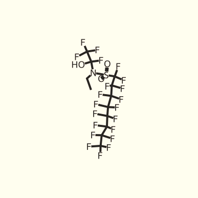 CCN(C(O)(F)C(F)(F)F)S(=O)(=O)C(F)(F)C(F)(F)C(F)(F)C(F)(F)C(F)(F)C(F)(F)C(F)(F)C(F)(F)F